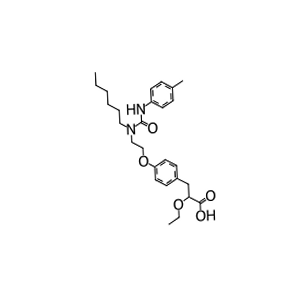 CCCCCCN(CCOc1ccc(CC(OCC)C(=O)O)cc1)C(=O)Nc1ccc(C)cc1